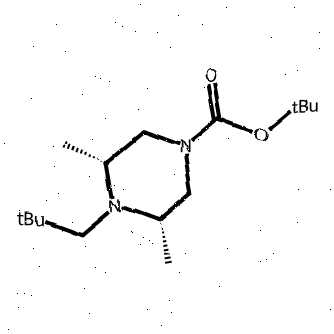 C[C@@H]1CN(C(=O)OC(C)(C)C)C[C@H](C)N1CC(C)(C)C